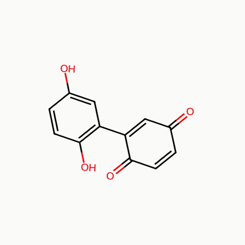 O=C1C=CC(=O)C(c2cc(O)ccc2O)=C1